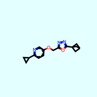 c1cc(C2CC2)ncc1OCc1nnc(C23CC(C2)C3)o1